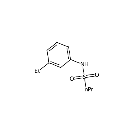 [CH2]Cc1cccc(NS(=O)(=O)CCC)c1